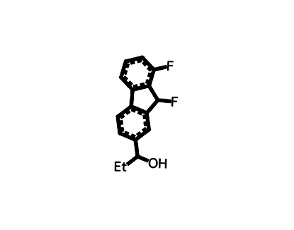 CCC(O)c1ccc2c(c1)C(F)c1c(F)cccc1-2